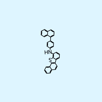 c1ccc2c(-c3ccc(Nc4cccc5c4sc4c6ccccc6ccc54)cc3)cccc2c1